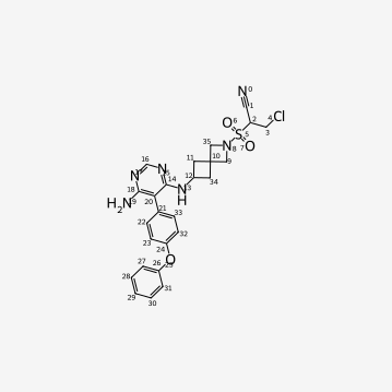 N#CC(CCl)S(=O)(=O)N1CC2(CC(Nc3ncnc(N)c3-c3ccc(Oc4ccccc4)cc3)C2)C1